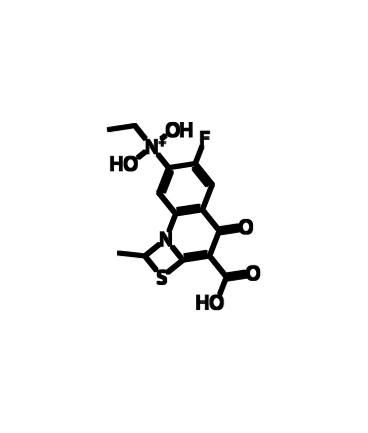 CC[N+](O)(O)c1cc2c(cc1F)c(=O)c(C(=O)O)c1n2C(C)S1